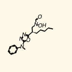 CCCCC[C@H](CN(O)C=O)c1nnc(N(C)c2ccccc2)o1